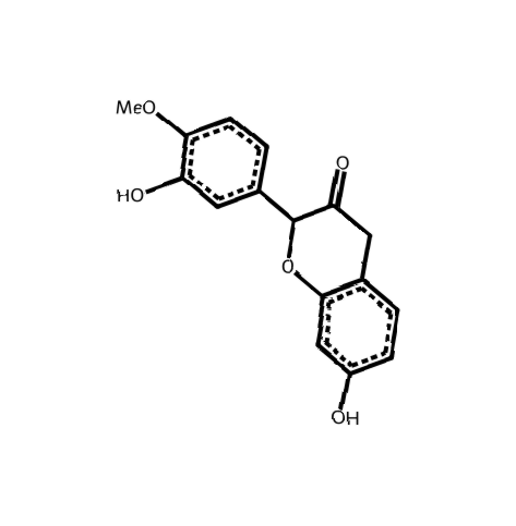 COc1ccc(C2Oc3cc(O)ccc3CC2=O)cc1O